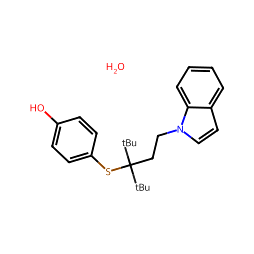 CC(C)(C)C(CCn1ccc2ccccc21)(Sc1ccc(O)cc1)C(C)(C)C.O